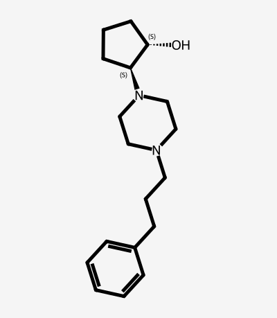 O[C@H]1CCC[C@@H]1N1CCN(CCCc2ccccc2)CC1